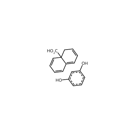 O=C(O)C12C=CC=CC1=CC=CC2.Oc1cccc(O)c1